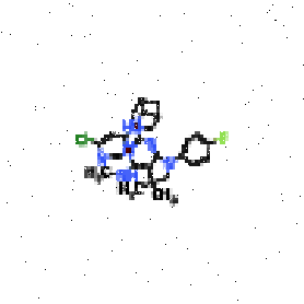 CNc1nc(NC2C3CC2CN(c2cc(Cl)ncn2)C3)nc2c1C(C)(C)CN2c1ccc(F)cc1